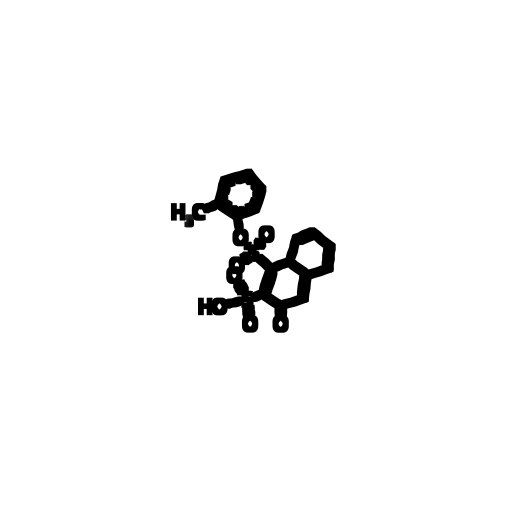 Cc1ccccc1OS(=O)(=O)C1=C(S(=O)(=O)O)C(=O)C=C2C=CC=CC21